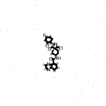 CCC1=NN(c2ccc(F)cc2Cl)C(=O)[C@]12CC[C@H](NC(=O)c1cccc3nccnc13)CC2